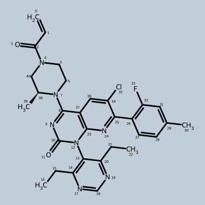 C=CC(=O)N1CCN(c2nc(=O)n(-c3c(CC)ncnc3CC)c3nc(-c4ccc(C)cc4F)c(Cl)cc23)[C@@H](C)C1